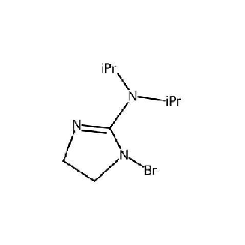 CC(C)N(C1=NCCN1Br)C(C)C